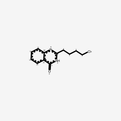 O=c1[nH]c(CCCCCl)nc2ccccc12